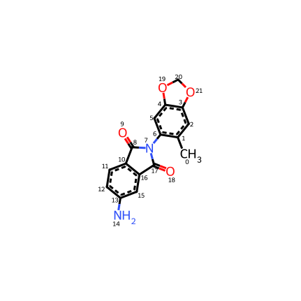 Cc1cc2c(cc1N1C(=O)c3ccc(N)cc3C1=O)OCO2